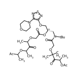 CC(=O)OC(C)C(=O)C(C)(C)OCC(=O)N(C[C@@H](COc1nsnc1N1CCOCC1)OC(=O)COC(C)C(=O)C(C)OC(C)C(C)=O)C(C)(C)C